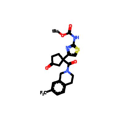 CC(C)(C)OC(=O)Nc1nc(C2(C(=O)N3CCc4ccc(C(F)(F)F)cc4C3)CCC(=O)C2)cs1